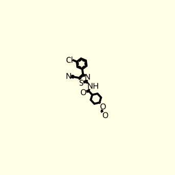 N#Cc1sc(NC(=O)C2CCC(OC=O)CC2)nc1-c1cccc(Cl)c1